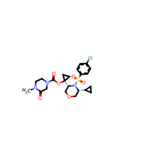 CN1CCN(C(=O)OC2([C@H]3COC[C@@H](C4CC4)N3S(=O)(=O)c3ccc(Cl)cc3)CC2)CC1=O